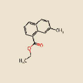 CCOC(=O)c1cccc2ccc(C)cc12